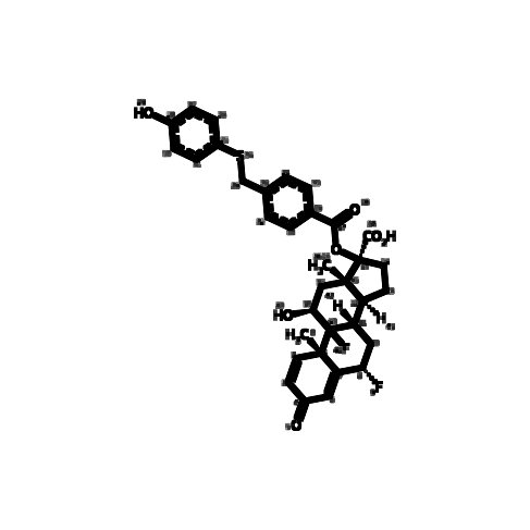 C[C@]12C=CC(=O)C=C1[C@@H](F)C[C@H]1[C@@H]3CC[C@@](OC(=O)c4ccc(CSc5ccc(O)cc5)cc4)(C(=O)O)[C@@]3(C)C[C@H](O)C12F